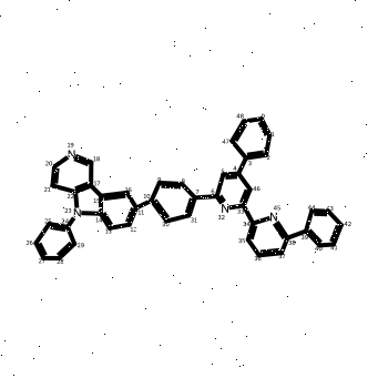 c1ccc(-c2cc(-c3ccc(-c4ccc5c(c4)c4cnccc4n5-c4ccccc4)cc3)nc(-c3cccc(-c4ccccc4)n3)c2)cc1